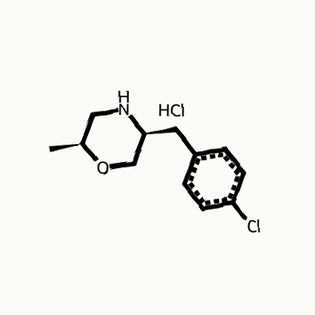 C[C@H]1CN[C@@H](Cc2ccc(Cl)cc2)CO1.Cl